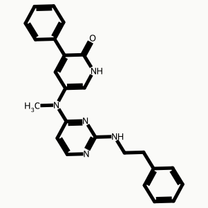 CN(c1c[nH]c(=O)c(-c2ccccc2)c1)c1ccnc(NCCc2ccccc2)n1